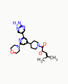 CC(C)=CC(=O)C(=O)N1CCC(c2cc(-c3cnc(N)nc3)nc(N3CCOCC3)c2)CC1